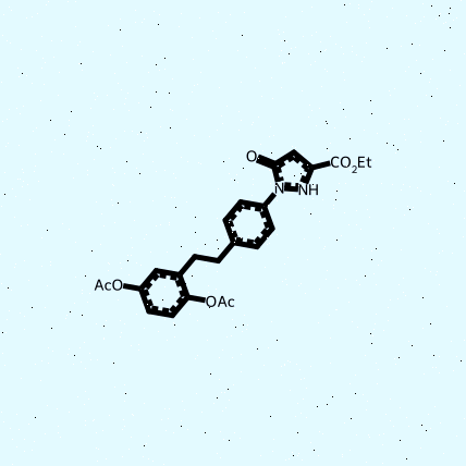 CCOC(=O)c1cc(=O)n(-c2ccc(CCc3cc(OC(C)=O)ccc3OC(C)=O)cc2)[nH]1